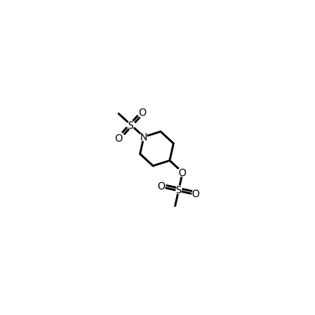 CS(=O)(=O)OC1CCN(S(C)(=O)=O)CC1